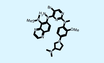 COc1cc(N2CCC(N(C)C)C2)ccc1N(C)c1ncc(Br)c(N(N)c2ccc3nccnc3c2N(C)SC)n1